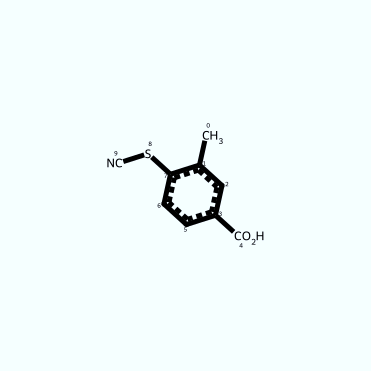 Cc1cc(C(=O)O)ccc1SC#N